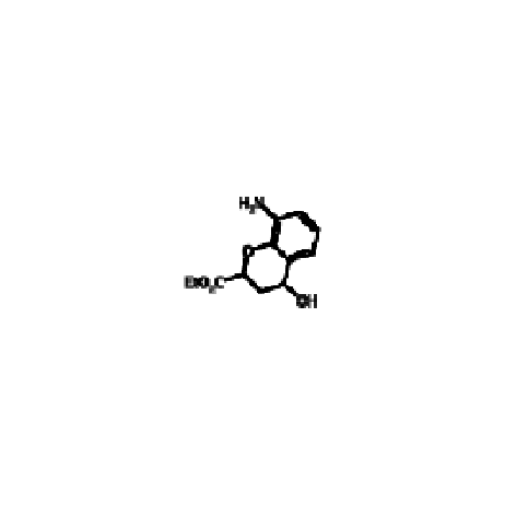 CCOC(=O)C1CC(O)c2cccc(N)c2O1